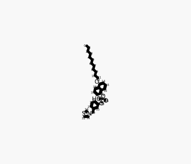 CCCCCCCCCCCCOc1cccc2c(OP(=O)(O)Oc3cccc(C[n+]4ccsc4)c3)cccc12